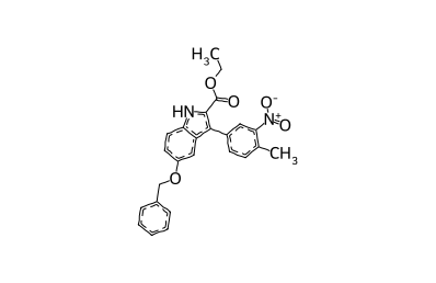 CCOC(=O)c1[nH]c2ccc(OCc3ccccc3)cc2c1-c1ccc(C)c([N+](=O)[O-])c1